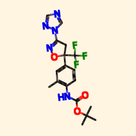 Cc1cc(C2(C(F)(F)F)CC(n3cncn3)=NO2)ccc1NC(=O)OC(C)(C)C